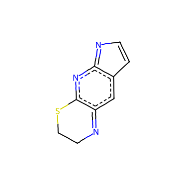 C1=Cc2cc3c(nc2=N1)SCCN=3